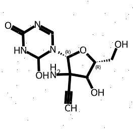 C#CC1(N)C(O)[C@@H](CO)O[C@H]1N1C=NC(=O)NC1O